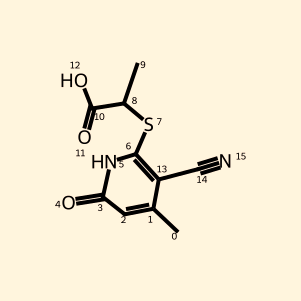 Cc1cc(=O)[nH]c(SC(C)C(=O)O)c1C#N